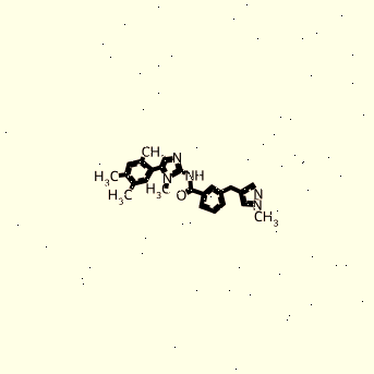 Cc1cc(C)c(-c2cnc(NC(=O)c3cccc(Cc4cnn(C)c4)c3)n2C)cc1C